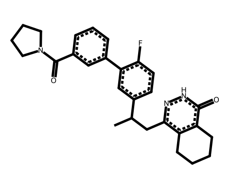 CC(Cc1n[nH]c(=O)c2c1CCCC2)c1ccc(F)c(-c2cccc(C(=O)N3CCCC3)c2)c1